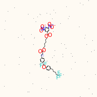 O=C(/C=C/c1ccc(C(F)(F)Oc2ccc(CCCCC(F)(F)F)cc2)cc1)OCCCCCCOC(=O)c1cc([N+](=O)[O-])cc([N+](=O)[O-])c1